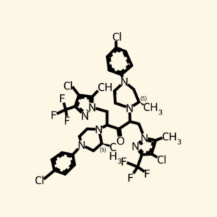 Cc1c(Cl)c(C(F)(F)F)nn1CC(C(=O)C(Cn1nc(C(F)(F)F)c(Cl)c1C)N1CCN(c2ccc(Cl)cc2)C[C@@H]1C)N1CCN(c2ccc(Cl)cc2)C[C@@H]1C